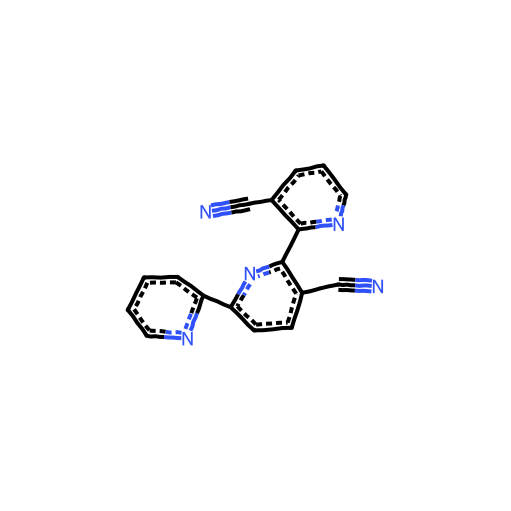 N#Cc1cccnc1-c1nc(-c2ccccn2)ccc1C#N